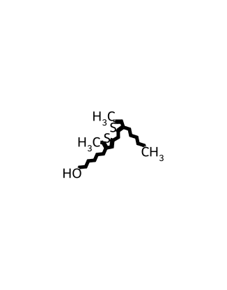 CCCCCCc1cc(C)sc1Cc1cc(CCCCCCO)c(C)s1